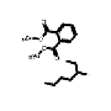 CCCCOC(=O)c1ccccc1C(=O)OCCCC.[CH2]C(CC)CCCC